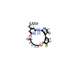 CSCc1cc2nc(c1)O[C@H](C)CCCCOc1cc(ccc1F)-c1cc(ncc1F)N2